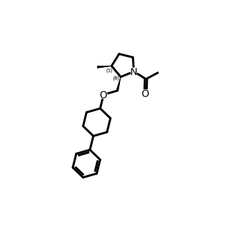 CC(=O)N1CC[C@H](C)[C@@H]1COC1CCC(c2ccccc2)CC1